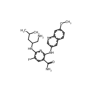 COc1ccc2cc(Nc3nc(NC(CN)CC(C)C)c(F)cc3C(N)=O)cnc2c1